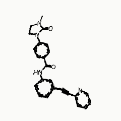 CN1CCN(c2ccc(C(=O)Nc3cccc(C#Cc4ccccn4)c3)cc2)C1=O